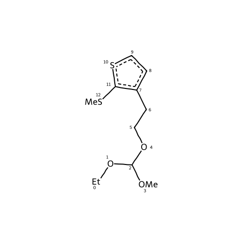 CCOC(OC)OCCc1ccsc1SC